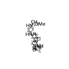 COC[C@@H](C)N[C@H]1CC[C@H](Nc2cc(-c3cccc(NCC45CCS(=O)(=O)CC4C5)n3)c(Cl)cn2)CC1